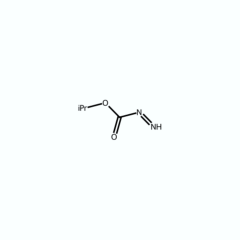 CC(C)OC(=O)N=N